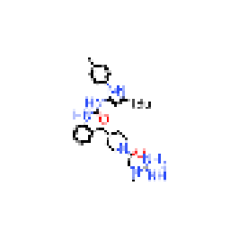 Cc1ccc(-n2nc(C(C)(C)C)cc2NC(=O)Nc2ccccc2CC2CCN(C(=O)CN(C)C(=N)N)CC2)cc1